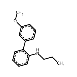 CCCNc1[c]cccc1-c1cccc(OC)c1